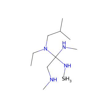 CCN(CC(C)C)C(CNC)(NC)N[SiH3]